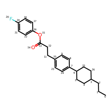 CCCC1CCC(c2ccc(CCC(=O)Oc3ccc(F)cc3)cc2)CC1